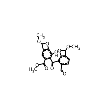 COC(=O)c1cc2c(c(O)c1C(=O)c1c(C=O)ccc3c1OC3OC)OC2OC